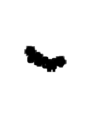 CC(C)C(OC(=O)OC1CCCCC1)OC(=O)[C@H]1CCn2c(C(=O)c3ccccc3)ccc21